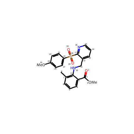 COC(=O)c1cccc(C)c1NCc1cccnc1S(=O)(=O)c1ccc(OC)cc1